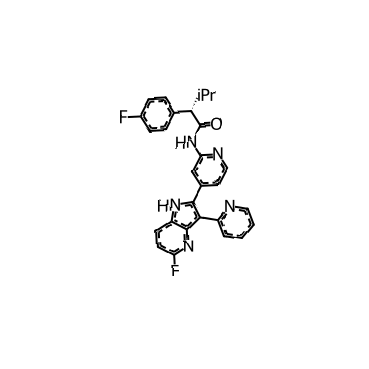 CC(C)[C@H](C(=O)Nc1cc(-c2[nH]c3ccc(F)nc3c2-c2ccccn2)ccn1)c1ccc(F)cc1